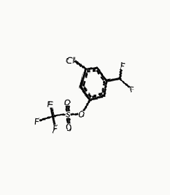 O=S(=O)(Oc1cc(Cl)cc(C(F)F)c1)C(F)(F)F